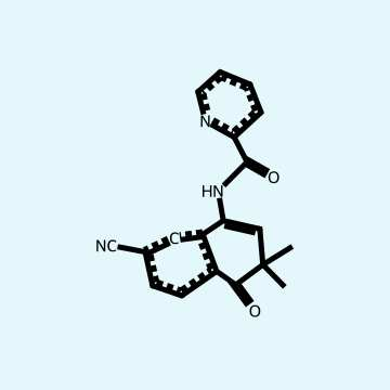 CC1(C)C=C(NC(=O)c2ccccn2)c2cc(C#N)ccc2C1=O